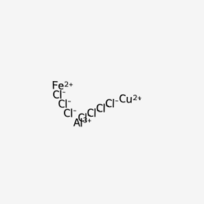 [Al+3].[Cl-].[Cl-].[Cl-].[Cl-].[Cl-].[Cl-].[Cl-].[Cu+2].[Fe+2]